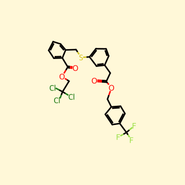 O=C(Cc1cccc(SCc2ccccc2C(=O)OCC(Cl)(Cl)Cl)c1)OCc1ccc(C(F)(F)F)cc1